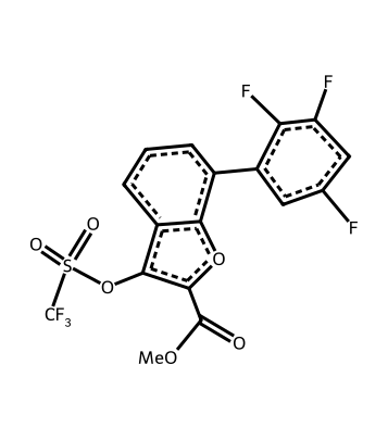 COC(=O)c1oc2c(-c3cc(F)cc(F)c3F)cccc2c1OS(=O)(=O)C(F)(F)F